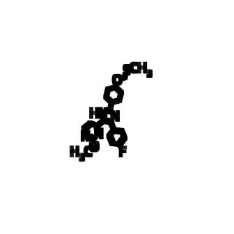 COc1nccc(-c2[nH]c(C3CCC(OCSC)CC3)nc2-c2ccc(F)cc2)n1